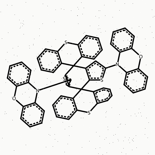 c1ccc2c(c1)Oc1ccccc1N2c1cc2c(s1)C1(c3ccccc3Sc3ccccc31)c1cc(N3c4ccccc4Oc4ccccc43)sc1C21c2ccccc2Sc2ccccc21